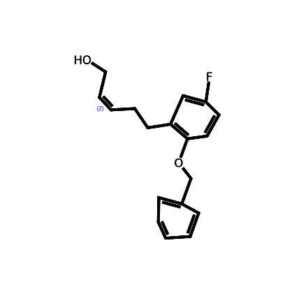 OC/C=C\CCc1cc(F)ccc1OCc1ccccc1